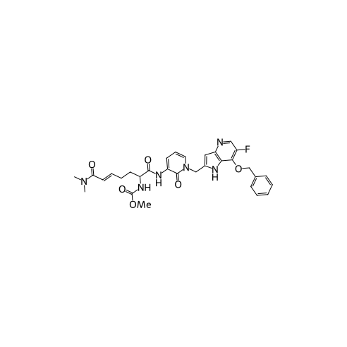 COC(=O)NC(CC/C=C/C(=O)N(C)C)C(=O)Nc1cccn(Cc2cc3ncc(F)c(OCc4ccccc4)c3[nH]2)c1=O